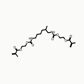 C=C(C)C(=O)OCCOC(=O)NCCCCC(C)CNC(=O)OCCOC(=O)C(=C)C